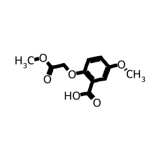 COC(=O)COc1ccc(OC)cc1C(=O)O